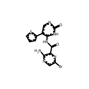 Nc1ncc(Br)nc1C(=O)Nc1[nH]c(=O)ncc1-c1cccs1